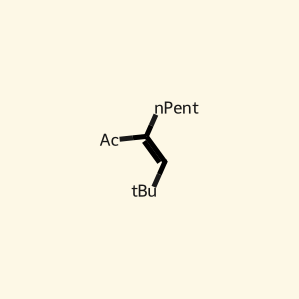 CCCCCC(=CC(C)(C)C)C(C)=O